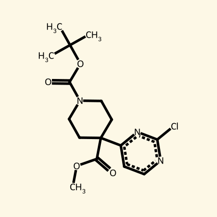 COC(=O)C1(c2ccnc(Cl)n2)CCN(C(=O)OC(C)(C)C)CC1